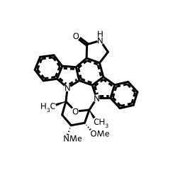 CN[C@@H]1C[C@@]2(C)O[C@@](C)([C@@H]1OC)n1c3ccccc3c3c4c(c5c6ccccc6n2c5c31)C(=O)NC4